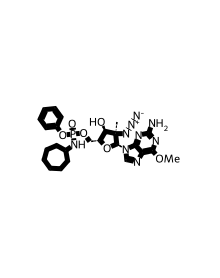 COc1nc(N)nc2c1ncn2[C@@H]1O[C@H](COP(=O)(NC2CCCCCC2)Oc2ccccc2)[C@@H](O)[C@@]1(C)N=[N+]=[N-]